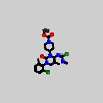 C=N/C(Cl)=N\C1=C(C)CN(c2c(C)cccc2Cl)C(=O)N1C1CCN(C(=O)OC(C)(C)C)CC1